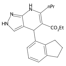 CCCC1=C(C(=O)OCC)C(c2cccc3c2CCC3)c2c[nH]nc2N1